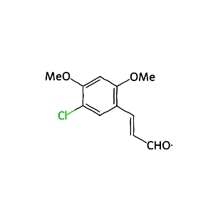 COc1cc(OC)c(C=C[C]=O)cc1Cl